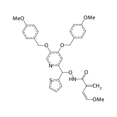 C=C(/C=C\OC)C(=O)NOC(c1cc(OCc2ccc(OC)cc2)c(OCc2ccc(OC)cc2)cn1)c1cccs1